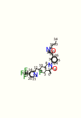 C=C(CCF)C(=O)N(CCCCCc1cc(C(F)(F)F)ccn1)c1cccc(-c2cnc(CCC)o2)c1